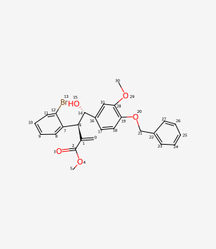 C=C(C(=O)OC)[C@@H](c1ccccc1Br)[C@H](O)c1ccc(OCc2ccccc2)c(OC)c1